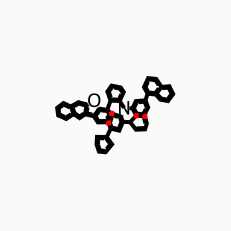 C1=CCC(c2cc(-c3ccccc3)ccc2N(c2cccc(-c3cccc4ccccc34)c2)c2ccccc2-c2cccc3c2oc2cc4ccccc4cc23)C=C1